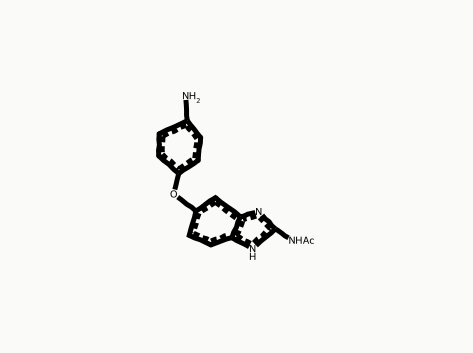 CC(=O)Nc1nc2cc(Oc3ccc(N)cc3)ccc2[nH]1